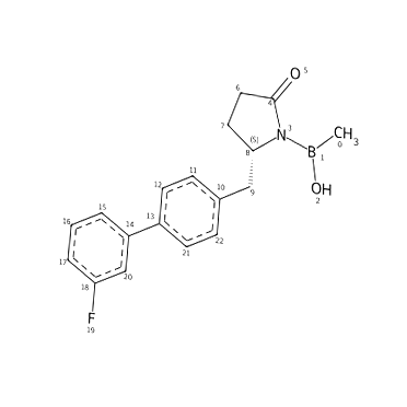 CB(O)N1C(=O)CC[C@H]1Cc1ccc(-c2cccc(F)c2)cc1